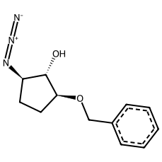 [N-]=[N+]=N[C@@H]1CC[C@H](OCc2ccccc2)[C@H]1O